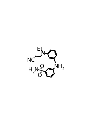 CCN(CCC#N)c1cccc(C)c1.Nc1cccc(S(N)(=O)=O)c1